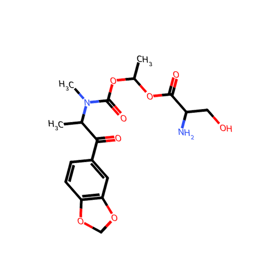 CC(OC(=O)C(N)CO)OC(=O)N(C)C(C)C(=O)c1ccc2c(c1)OCO2